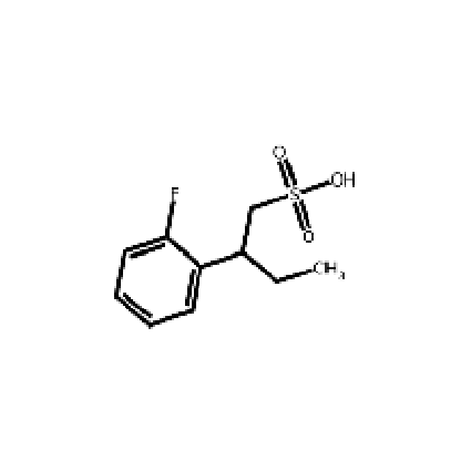 CCC(CS(=O)(=O)O)c1ccccc1F